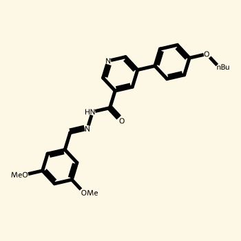 CCCCOc1ccc(-c2cncc(C(=O)NN=Cc3cc(OC)cc(OC)c3)c2)cc1